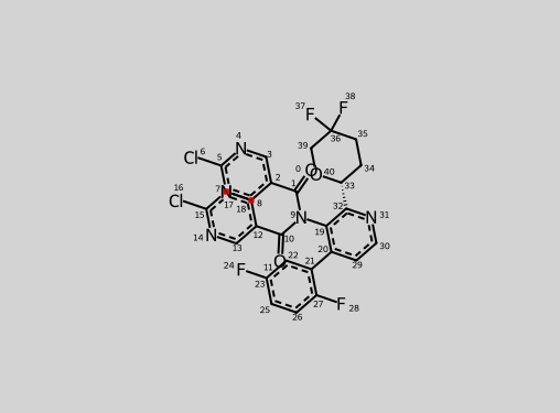 O=C(c1cnc(Cl)nc1)N(C(=O)c1cnc(Cl)nc1)c1c(-c2cc(F)ccc2F)ccnc1[C@H]1CCC(F)(F)CO1